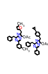 CC(=O)Oc1c(Cc2ccc(C)o2)nc2c(Cc3ccccc3)nc(-c3cccc(C)c3)cn12.CC(=O)Oc1c(Cc2ccc(C3CC3)cc2)nc2c(Cc3ccccc3)nc(-c3ccccc3)cn12